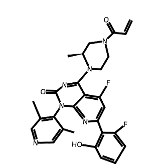 C=CC(=O)N1CCN(c2nc(=O)n(-c3c(C)cncc3C)c3nc(-c4c(O)cccc4F)cc(F)c23)[C@@H](C)C1